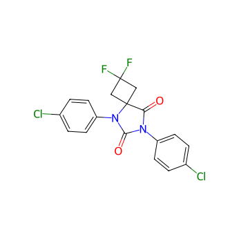 O=C1N(c2ccc(Cl)cc2)C(=O)C2(CC(F)(F)C2)N1c1ccc(Cl)cc1